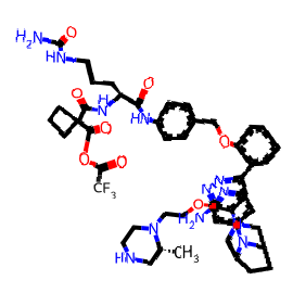 C[C@@H]1CNCCN1CCOc1cc(N2C3CCC2CN(c2cc(-c4ccccc4OCc4ccc(NC(=O)[C@H](CCCNC(N)=O)NC(=O)C5(C(=O)OC(=O)C(F)(F)F)CCC5)cc4)nnc2N)C3)ccn1